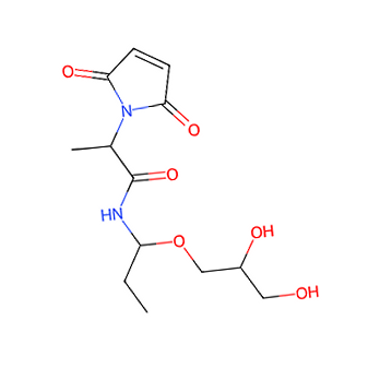 CCC(NC(=O)C(C)N1C(=O)C=CC1=O)OCC(O)CO